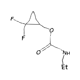 CCNC(=O)OC1CC1(F)F